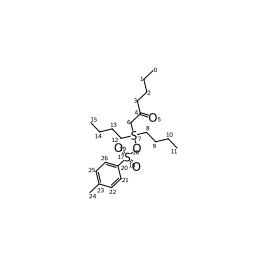 CCCCC(=O)CS(CCCC)(CCCC)OS(=O)(=O)c1ccc(C)cc1